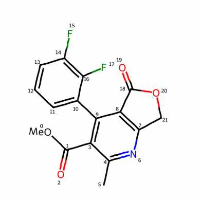 COC(=O)c1c(C)nc2c(c1-c1cccc(F)c1F)C(=O)OC2